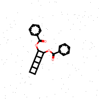 O=C(OC1C(OC(=O)c2ccccc2)C2C3C4CCC4C3C12)c1ccccc1